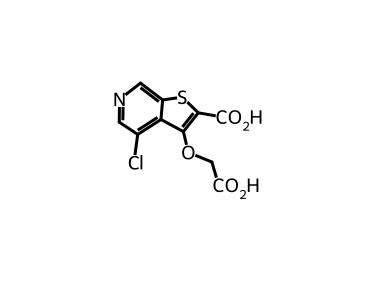 O=C(O)COc1c(C(=O)O)sc2cncc(Cl)c12